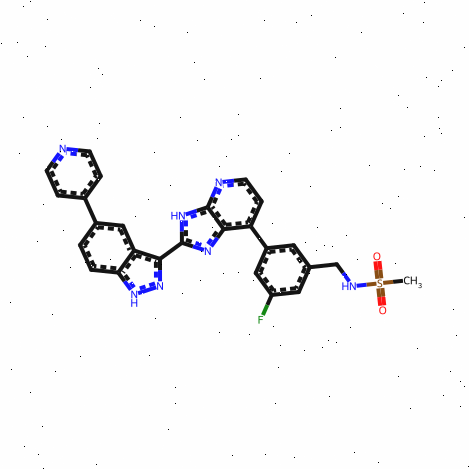 CS(=O)(=O)NCc1cc(F)cc(-c2ccnc3[nH]c(-c4n[nH]c5ccc(-c6ccncc6)cc45)nc23)c1